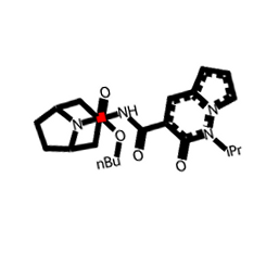 CCCCOC(=O)N1C2CCC1CC(NC(=O)c1cc3cccn3n(C(C)C)c1=O)C2